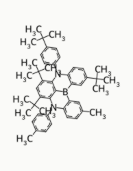 Cc1ccc(N2c3ccc(C)cc3B3c4cc(C(C)(C)C)ccc4N(c4ccc(C(C)(C)C)cc4)c4c(C(C)(C)C)cc(C(C)(C)C)c2c43)cc1